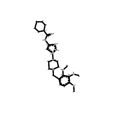 COc1ccc(CN2CCN([n+]3cc([N-]C(=O)C4CCCCC4)on3)CC2)c(OC)c1OC